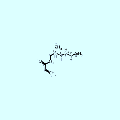 C=CC(=O)OC[SiH](C)N[SiH2]N[SiH3]